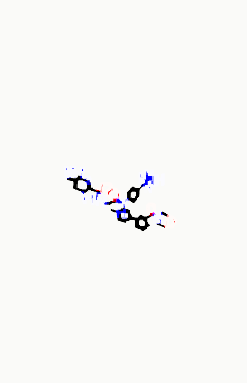 NCC1CCC(C(=O)N[C@@H](Cc2ccc(-c3cccc(C(=O)N4CCOCC4)c3)cc2)C(=O)Nc2ccc(-c3nn[nH]n3)cc2)CC1